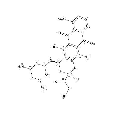 COc1cccc2c1C(=O)c1c(O)c3c(c(O)c1C2=O)C[C@@](O)(C(=O)CO)C[C@H]3OC1CC(N)CC(C)O1